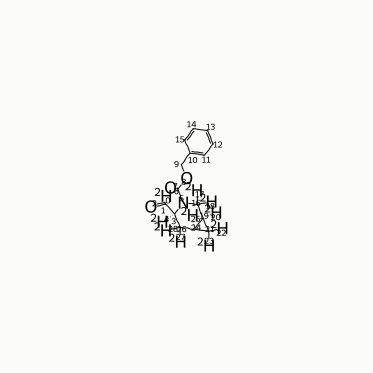 [2H]C(=O)[C@@]1([2H])N(C(=O)OCc2ccccc2)C([2H])([2H])[C@@]2([2H])C([2H])([2H])[C@@]2([2H])C1([2H])[2H]